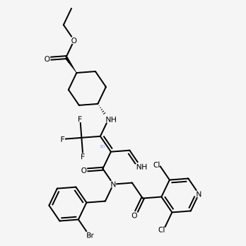 CCOC(=O)[C@H]1CC[C@H](N/C(=C(\C=N)C(=O)N(CC(=O)c2c(Cl)cncc2Cl)Cc2ccccc2Br)C(F)(F)F)CC1